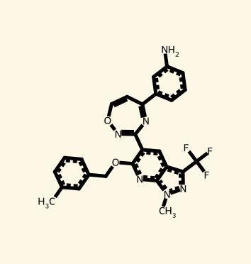 Cc1cccc(COc2nc3c(cc2C2=NOC=CC(c4cccc(N)c4)=N2)c(C(F)(F)F)nn3C)c1